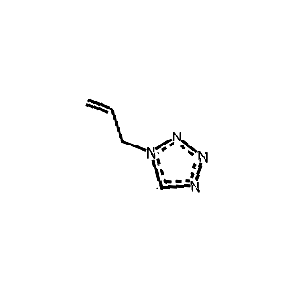 C=CCn1[c]nnn1